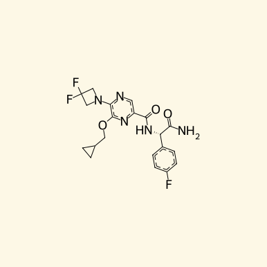 NC(=O)[C@@H](NC(=O)c1cnc(N2CC(F)(F)C2)c(OCC2CC2)n1)c1ccc(F)cc1